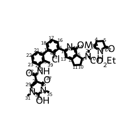 CCOC(=O)N(C[C@@H]1CCC(=O)N1)[C@H]1CCc2cc(-c3cccc(-c4cccc(NC(=O)C5=CN(C)C(O)N(C)C5=O)c4C)c3Cl)nc(OC)c21